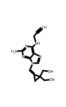 C#CCNc1nc(N)nc2c1ncn2/C=C1/CC1(CO)CO